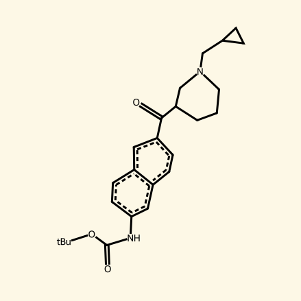 CC(C)(C)OC(=O)Nc1ccc2cc(C(=O)C3CCCN(CC4CC4)C3)ccc2c1